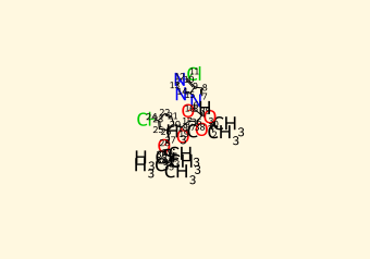 CC1(C)O[C@H]2[C@H](n3ccc4c(Cl)ncnc43)OC(C(=O)c3ccc(Cl)cc3CO[Si](C)(C)C(C)(C)C)[C@@]2(C)O1